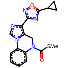 CSC(=O)N1Cc2c(-c3noc(C4CC4)n3)ncn2-c2ccccc21